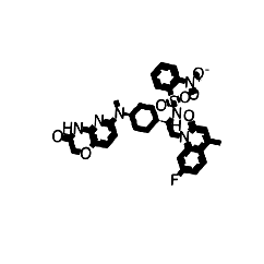 Cc1cc(=O)n(CC(NS(=O)(=O)c2ccccc2[N+](=O)[O-])[C@H]2CC[C@H](N(C)c3ccc4c(n3)NC(=O)CO4)CC2)c2cc(F)ccc12